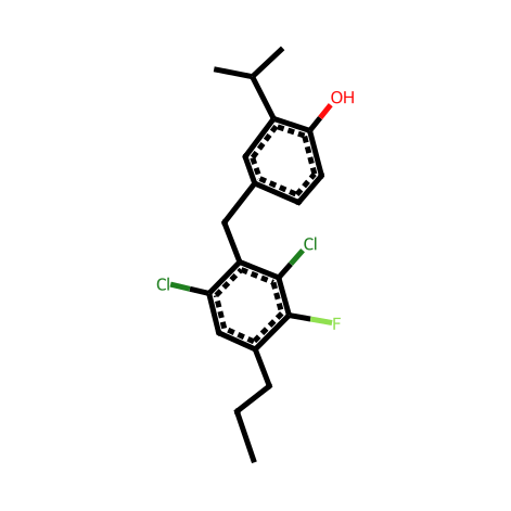 CCCc1cc(Cl)c(Cc2ccc(O)c(C(C)C)c2)c(Cl)c1F